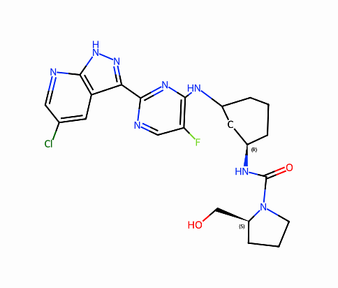 O=C(N[C@@H]1CCCC(Nc2nc(-c3n[nH]c4ncc(Cl)cc34)ncc2F)C1)N1CCC[C@H]1CO